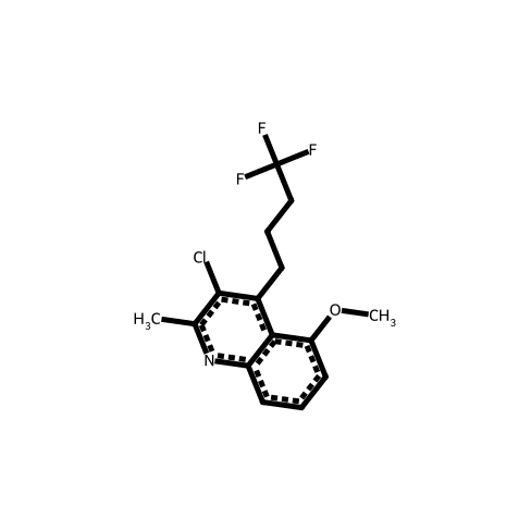 COc1cccc2nc(C)c(Cl)c(CCCC(F)(F)F)c12